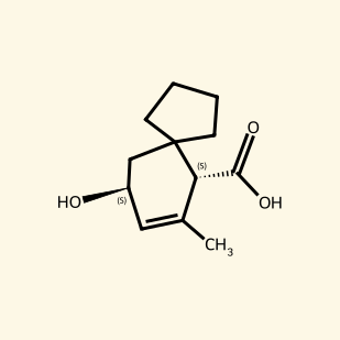 CC1=C[C@@H](O)CC2(CCCC2)[C@@H]1C(=O)O